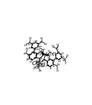 CCCC1=Cc2c(ccc(CC)c2-c2cc(C(C)C)cc(C(C)C)c2)[CH]1[Zr]([Cl])([Cl])([CH]1C(CCC)=Cc2c1ccc(CC)c2-c1cc(C(C)C)cc(C(C)C)c1)[SiH](C)C